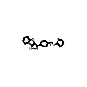 c1ccc(NCc2ccc(-c3n[nH]c4c3sc3ccccc34)cc2)nc1